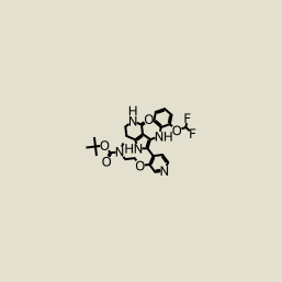 CN(CCOc1cnccc1-c1[nH]c2c(c1Nc1ccccc1OC(F)F)C(=O)NCC2)C(=O)OC(C)(C)C